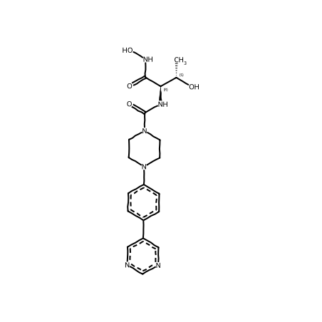 C[C@H](O)[C@@H](NC(=O)N1CCN(c2ccc(-c3cncnc3)cc2)CC1)C(=O)NO